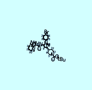 CC(C)(C)OC(=O)N1CCC(c2cc(NC(=O)c3cnn4cccnc34)n(-c3ccc(Br)cc3)n2)CC1